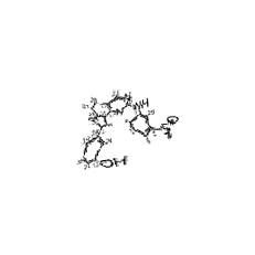 C[S+]([O-])c1cccc(Nc2ncc3c(n2)-c2cc(-c4cccc(O)c4)sc2CC3)c1